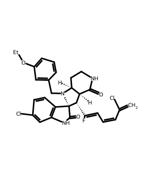 C=C(Cl)/C=C\C=C(/F)[C@H]1[C@@H]2C(=O)NCC[C@@H]2N(Cc2cccc(OCC)c2)[C@@]12C(=O)Nc1cc(Cl)ccc12